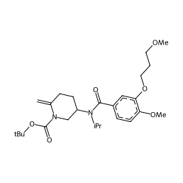 C=C1CCC(N(C(=O)c2ccc(OC)c(OCCCOC)c2)C(C)C)CN1C(=O)OC(C)(C)C